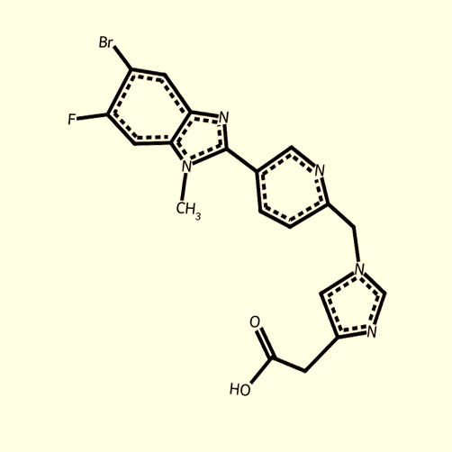 Cn1c(-c2ccc(Cn3cnc(CC(=O)O)c3)nc2)nc2cc(Br)c(F)cc21